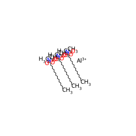 CCCCCCCCCCCCCCCCCC(=O)N(C)[C@@H](C)C(=O)[O-].CCCCCCCCCCCCCCCCCC(=O)N(C)[C@@H](C)C(=O)[O-].CCCCCCCCCCCCCCCCCC(=O)N(C)[C@@H](C)C(=O)[O-].[Al+3]